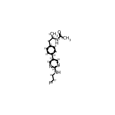 CC(=O)NC(C)Cc1ccc(-c2cnc(NCCF)nc2)cc1